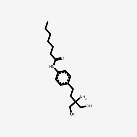 CCCCCCC(=O)Nc1ccc(CCC(N)(CO)CO)cc1